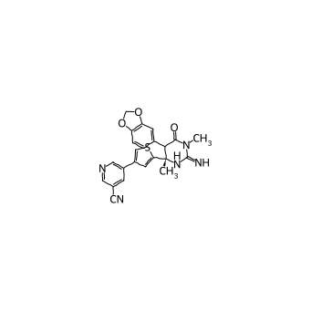 CN1C(=N)N[C@](C)(c2cc(-c3cncc(C#N)c3)cs2)C(c2ccc3c(c2)OCO3)C1=O